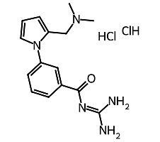 CN(C)Cc1cccn1-c1cccc(C(=O)N=C(N)N)c1.Cl.Cl